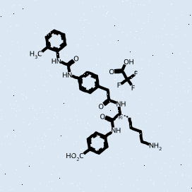 Cc1ccccc1NC(=O)Nc1ccc(CC(=O)N[C@H](CCCCN)C(=O)Nc2ccc(C(=O)O)cc2)cc1.O=C(O)C(F)(F)F